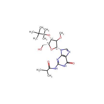 COC1[C@@H](O[Si](C)(C)C(C)(C)C)[C@@H](CO)O[C@H]1n1cnc2c(=O)[nH]c(NC(=O)C(C)C)nc21